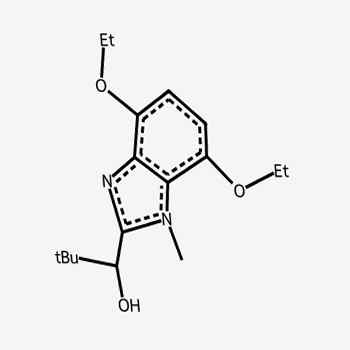 CCOc1ccc(OCC)c2c1nc(C(O)C(C)(C)C)n2C